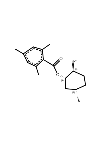 Cc1cc(C)c(C(=O)O[C@H]2C[C@@H](C)CC[C@@H]2C(C)C)c(C)c1